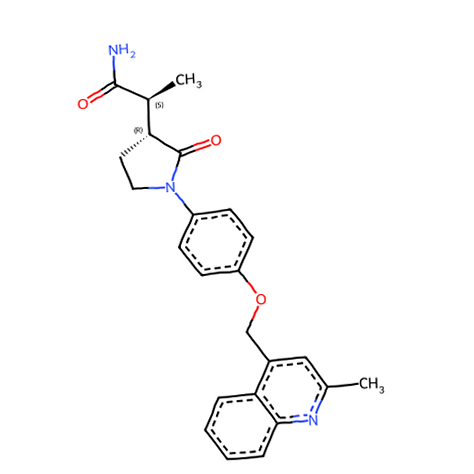 Cc1cc(COc2ccc(N3CC[C@H]([C@H](C)C(N)=O)C3=O)cc2)c2ccccc2n1